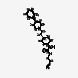 N#CCCCC(=O)N[C@H]1CC[C@H](CCN2CC=C(c3ccccc3)CC2)CC1